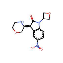 O=C1/C(=C2/COCCN2)c2cc([N+](=O)[O-])ccc2N1C1COC1